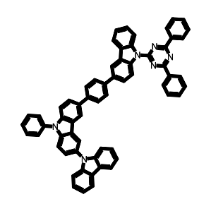 c1ccc(-c2nc(-c3ccccc3)nc(-n3c4ccccc4c4cc(-c5ccc(-c6ccc7c(c6)c6cc(-n8c9ccccc9c9ccccc98)ccc6n7-c6ccccc6)cc5)ccc43)n2)cc1